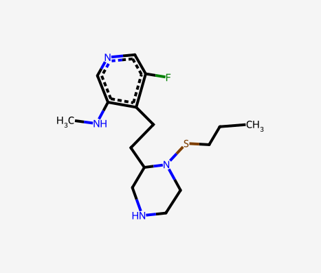 CCCSN1CCNCC1CCc1c(F)cncc1NC